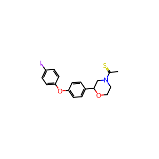 CC(=S)N1CCOC(c2ccc(Oc3ccc(I)cc3)cc2)C1